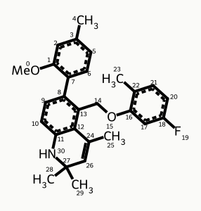 COc1cc(C)ccc1-c1ccc2c(c1COc1cc(F)ccc1C)C(C)=CC(C)(C)N2